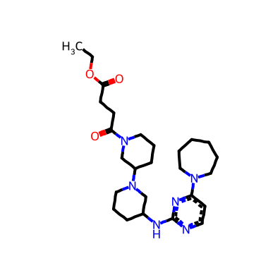 CCOC(=O)CCC(=O)N1CCCC(N2CCCC(Nc3nccc(N4CCCCCC4)n3)C2)C1